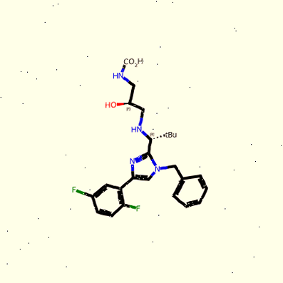 CC(C)(C)[C@@H](NC[C@@H](O)CNC(=O)O)c1nc(-c2cc(F)ccc2F)cn1Cc1ccccc1